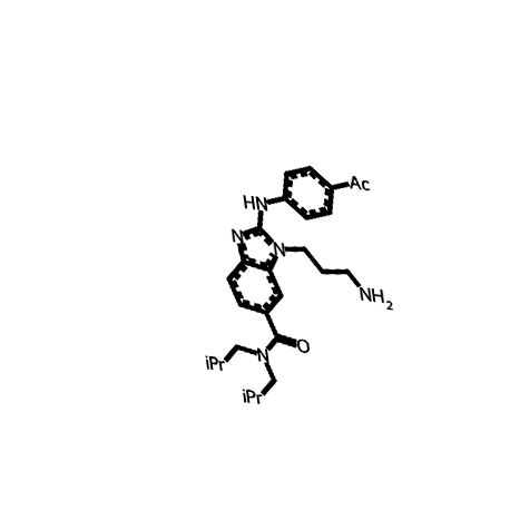 CC(=O)c1ccc(Nc2nc3ccc(C(=O)N(CC(C)C)CC(C)C)cc3n2CCCN)cc1